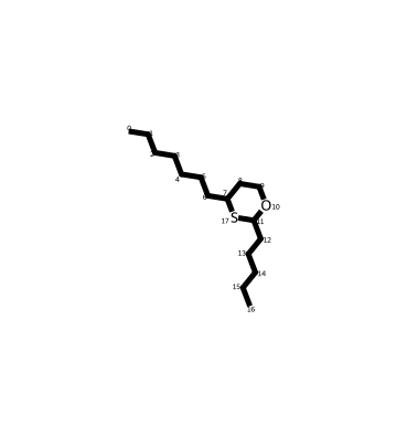 CCCCCCCC1CCOC(CCCCC)S1